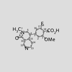 COc1cc(-c2cn(C)c(=O)c3cnccc23)cc(F)c1C(=O)O